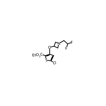 CCOC(=O)c1sc(Cl)cc1OC1CN(CC(F)F)C1